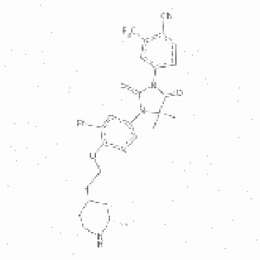 CCc1cc(N2C(=S)N(c3ccc(C#N)c(C(F)(F)F)c3)C(=O)C2(C)C)cnc1OCC[C@@H]1CCN[C@@H](C)C1